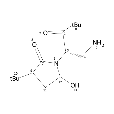 CC(C)(C)C(=O)[C@H](CN)N1C(=O)C(C(C)(C)C)CC1O